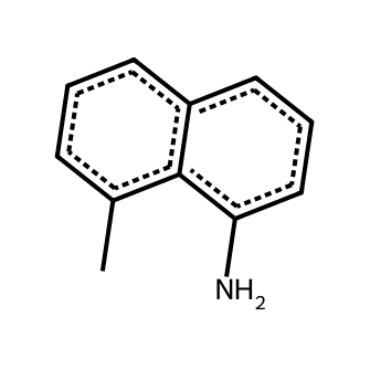 Cc1cccc2cccc(N)c12